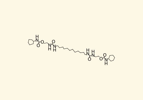 O=C(NCCCCCCCCCCCCNC(=O)NCCOC(=O)NC1CCCCC1)NCCOC(=O)NC1CCCCC1